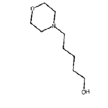 OCCCCCN1CCOCC1